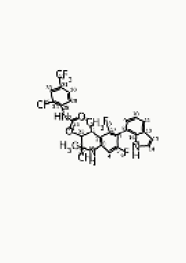 C[C@H]1c2c(cc(F)c(-c3cccc4cc[nH]c34)c2F)NC(C)(C)C1OC(=O)Nc1ccc(C(F)(F)F)cc1Cl